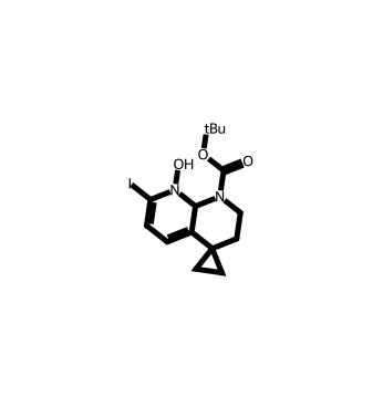 CC(C)(C)OC(=O)N1CCC2(CC2)C2=CC=C(I)N(O)C21